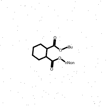 CCCCCCCCCOC(=O)C1CCCCC1C(=O)OC(C)CC